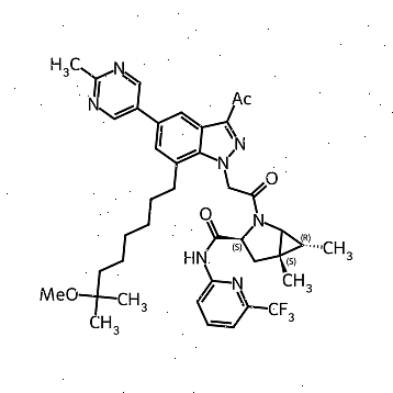 COC(C)(C)CCCCCCc1cc(-c2cnc(C)nc2)cc2c(C(C)=O)nn(CC(=O)N3C4[C@H](C)[C@]4(C)C[C@H]3C(=O)Nc3cccc(C(F)(F)F)n3)c12